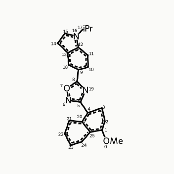 COc1ccc(-c2noc(-c3ccc4c(ccn4C(C)C)c3)n2)c2ccccc12